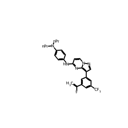 C=C(F)c1cc(-c2cnn3ccc(Nc4ccc(N(CCC)CCC)cc4)nc23)cc(C(F)(F)F)c1